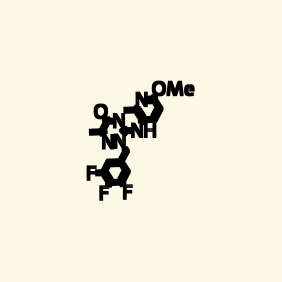 COc1ccc(Nc2nc(=O)c(C)nn2Cc2cc(F)c(F)c(F)c2)c(C)n1